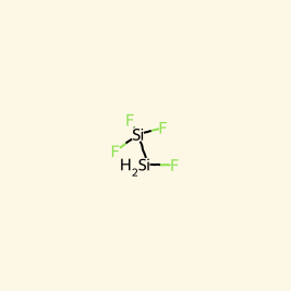 F[SiH2][Si](F)(F)F